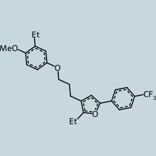 CCc1cc(OCCCc2cc(-c3ccc(C(F)(F)F)cc3)oc2CC)ccc1OC